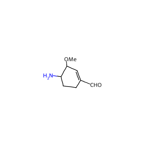 COC1C=C(C=O)CCC1N